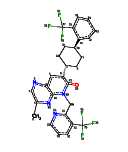 Cc1cnc2cc([C@H]3CC[C@H](c4ccccc4C(F)(F)F)CC3)c(=O)n(Cc3ncccc3C(F)(F)F)c2n1